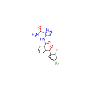 Cn1ncc(NC(=O)C2CC=CCC2C(=O)c2ccc(Br)cc2F)c1C(N)=O